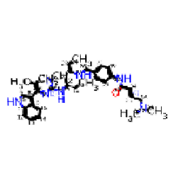 C=N/C(=N\C(=C(C)C)c1c[nH]c2ccccc12)N[C@H](CC)C[C@H](CC)NCc1ccc(NC(=O)/C=C/CN(C)C)cc1